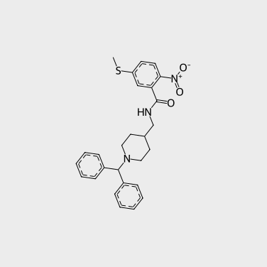 CSc1ccc([N+](=O)[O-])c(C(=O)NCC2CCN(C(c3ccccc3)c3ccccc3)CC2)c1